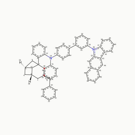 C[C@H]1C[C@@H]2C[C@H]3CC(c4ccccc4N(c4ccc(-c5ccccc5)cc4)c4ccc(-c5cccc(-n6c7ccccc7c7cc8ccccc8cc76)c5)cc4)(C1)C23